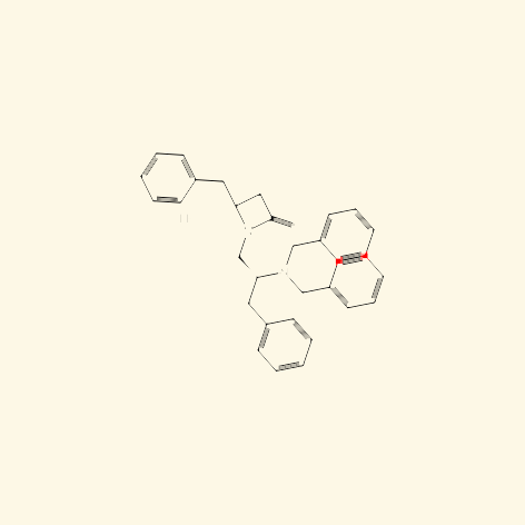 C[C@@H]1C(=O)N(C[C@H](Cc2ccccc2)N(Cc2ccccc2)Cc2ccccc2)[C@]1(Cc1ccccc1)C(=O)O